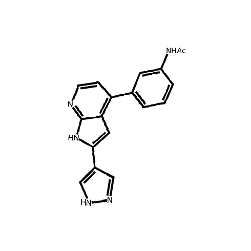 CC(=O)Nc1cccc(-c2ccnc3[nH]c(-c4cn[nH]c4)cc23)c1